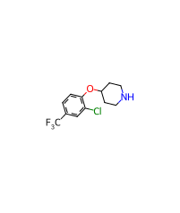 FC(F)(F)c1ccc(OC2CCNCC2)c(Cl)c1